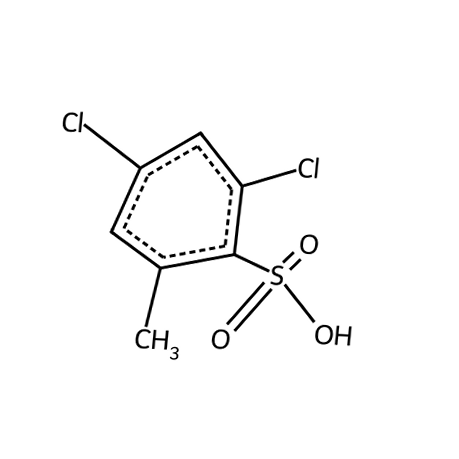 Cc1cc(Cl)cc(Cl)c1S(=O)(=O)O